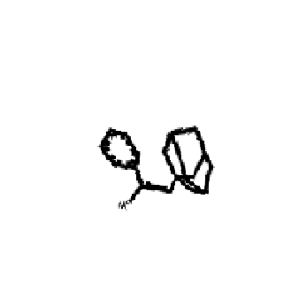 N#C/C(=C/C12CC3CC(CC(C3)C1)C2)c1ccccc1